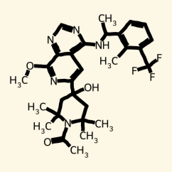 COc1nc(C2(O)CC(C)(C)N(C(C)=O)C(C)(C)C2)cc2c(NC(C)c3cccc(C(F)(F)F)c3C)ncnc12